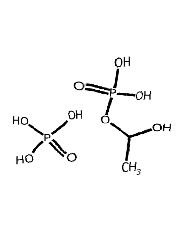 CC(O)OP(=O)(O)O.O=P(O)(O)O